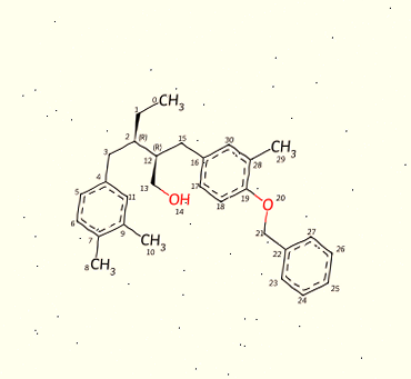 CC[C@H](Cc1ccc(C)c(C)c1)[C@H](CO)Cc1ccc(OCc2ccccc2)c(C)c1